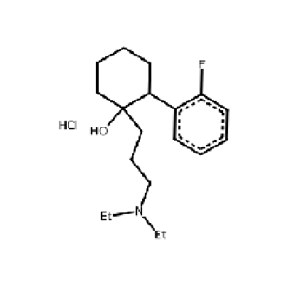 CCN(CC)CCCC1(O)CCCCC1c1ccccc1F.Cl